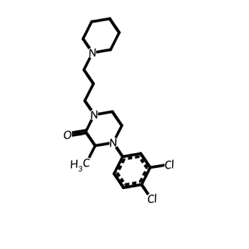 CC1C(=O)N(CCCN2CCCCC2)CCN1c1ccc(Cl)c(Cl)c1